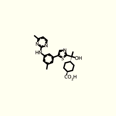 Cc1cc(Nc2nccc(C)n2)cc(-c2cnc(C(C)(O)[C@H]3CC[C@H](C(=O)O)CC3)s2)c1